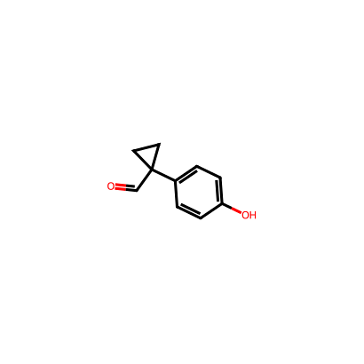 O=CC1(c2ccc(O)cc2)CC1